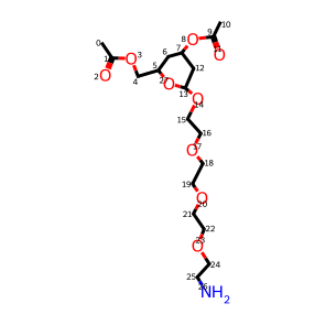 CC(=O)OCC1CC(OC(C)=O)CC(OCCOCCOCCOCCN)O1